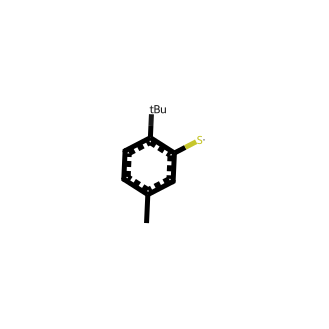 Cc1ccc(C(C)(C)C)c([S])c1